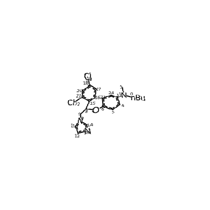 CCCCN(C)c1ccc(OC(Cn2ccnc2)c2ccc(Cl)cc2Cl)cc1